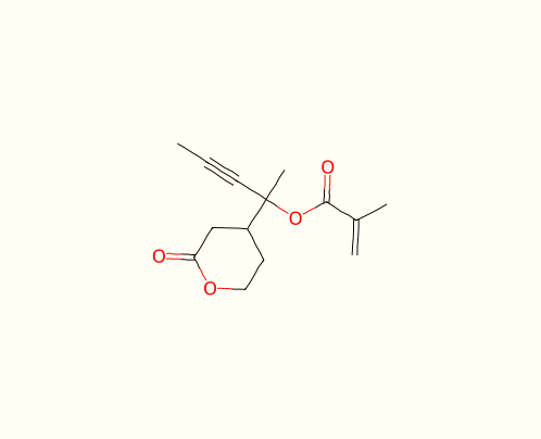 C=C(C)C(=O)OC(C)(C#CC)C1CCOC(=O)C1